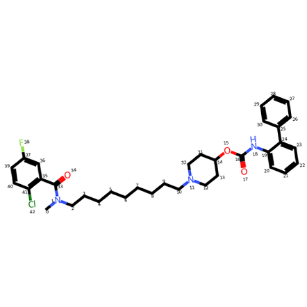 CN(CCCCCCCCCN1CCC(OC(=O)Nc2ccccc2-c2ccccc2)CC1)C(=O)c1cc(F)ccc1Cl